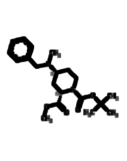 COC(=O)[C@@H]1C[C@@H](N(C)Cc2ccccc2)CCN1C(=O)OC(C)(C)C